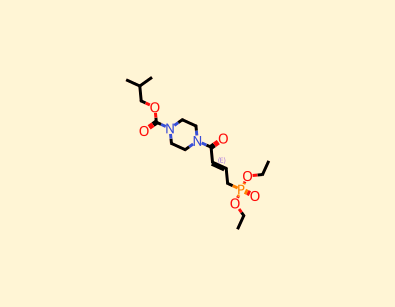 CCOP(=O)(C/C=C/C(=O)N1CCN(C(=O)OCC(C)C)CC1)OCC